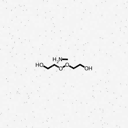 CN.OCCOOCCO